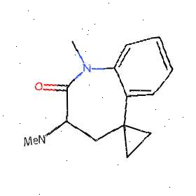 CNC1CC2(CC2)c2ccccc2N(C)C1=O